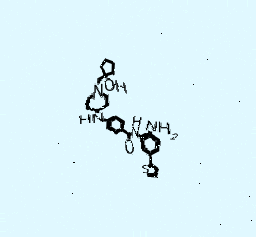 Nc1ccc(-c2cccs2)cc1NC(=O)c1ccc(NC2CCN(CC3(O)CCCC3)CC2)cc1